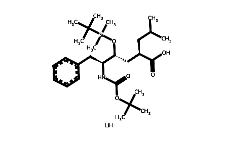 CC(C)C[C@H](C[C@@H](O[Si](C)(C)C(C)(C)C)[C@H](Cc1ccccc1)NC(=O)OC(C)(C)C)C(=O)O.[LiH]